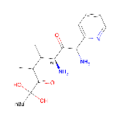 CCCCC(O)(O)C(=O)C(C)C(C)[C@H](N)C(=O)C(N)c1ccccn1